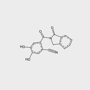 N#Cc1cc(O)c(O)cc1C(=O)N1Cc2ccccc2C1=O